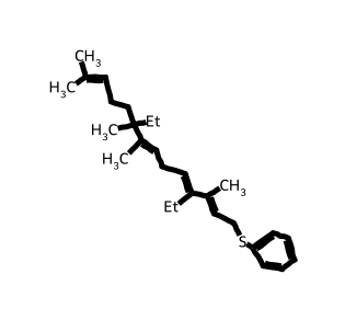 CCC(=C\C/C=C(\C)C(C)(CC)CCC=C(C)C)/C(C)=C/CSc1ccccc1